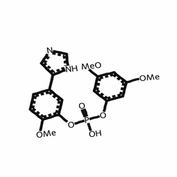 COc1cc(OC)cc(OP(=O)(O)Oc2cc(-c3cnc[nH]3)ccc2OC)c1